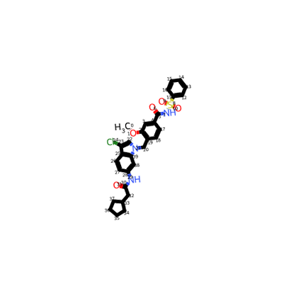 COc1cc(C(=O)NS(=O)(=O)c2ccccc2)ccc1Cn1cc(Cl)c2ccc(NC(=O)CC3CCCC3)cc21